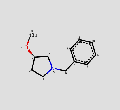 CC(C)(C)O[C@@H]1CCN(Cc2ccccc2)C1